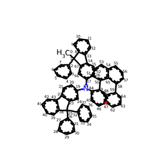 CC1(c2ccccc2)c2ccccc2-c2ccc(N(c3ccc4c(c3)C(c3ccccc3)(c3ccccc3)c3ccccc3-4)c3ccccc3-c3cccc4cccc(-c5ccccc5)c34)cc21